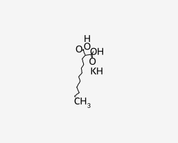 CCCCCCCCCCC(C(=O)O)C(=O)O.[KH]